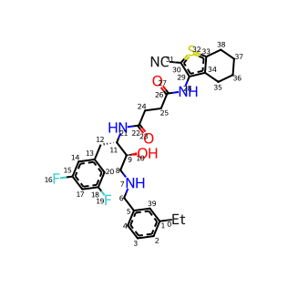 CCc1cccc(CNC[C@H](O)[C@H](Cc2cc(F)cc(F)c2)NC(=O)CCC(=O)Nc2c(C#N)sc3c2CCCC3)c1